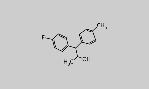 Cc1ccc(C(c2ccc(F)cc2)C(C)O)cc1